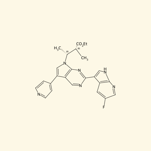 CCOC(=O)[C@H](C)[C@@H](C)n1cc(-c2ccncc2)c2cnc(-c3c[nH]c4ncc(F)cc34)nc21